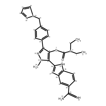 CCN(CC)C(=O)Oc1c(-c2ccc(Cn3cccn3)cc2)nn(C)c1-c1nc2cc(C(=N)N)ccc2[nH]1